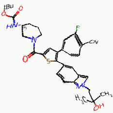 CC(C)(O)Cn1cc2cc(-c3sc(C(=O)N4CCC[C@@H](NC(=O)OC(C)(C)C)C4)cc3-c3ccc(C#N)c(F)c3)ccc2n1